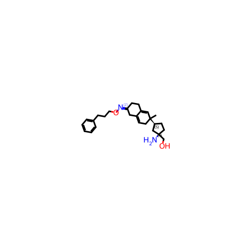 CC1([C@H]2CC[C@](N)(CO)C2)C=C2CC/C(=N/OCCCc3ccccc3)CC2=CC1